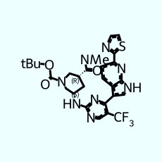 CNC(=O)[C@@H]1C[C@H](Nc2ncc(C(F)(F)F)c(-c3c[nH]c4nc(-c5nccs5)ccc34)n2)CN(C(=O)OC(C)(C)C)C1